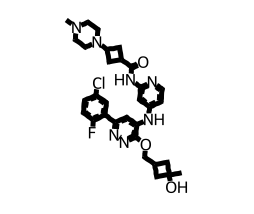 CN1CCN(C2CC(C(=O)Nc3cc(Nc4cc(-c5cc(Cl)ccc5F)nnc4OCC4CC(C)(O)C4)ccn3)C2)CC1